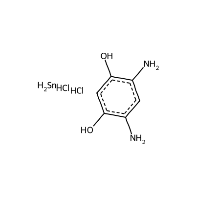 Cl.Cl.Nc1cc(N)c(O)cc1O.[SnH2]